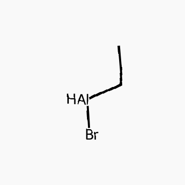 C[CH2][AlH][Br]